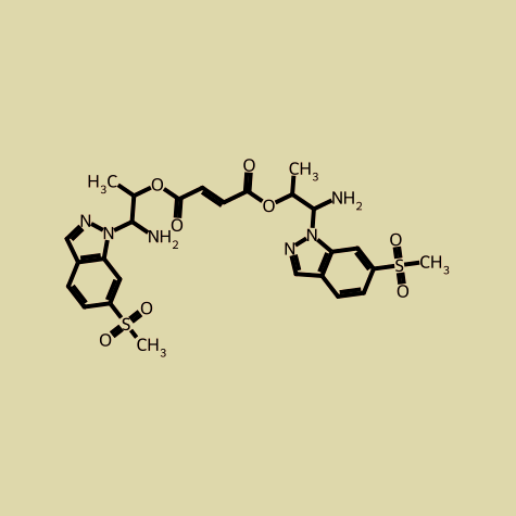 CC(OC(=O)/C=C/C(=O)OC(C)C(N)n1ncc2ccc(S(C)(=O)=O)cc21)C(N)n1ncc2ccc(S(C)(=O)=O)cc21